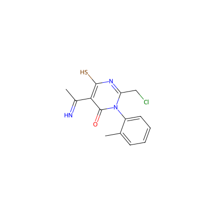 CC(=N)c1c(S)nc(CCl)n(-c2ccccc2C)c1=O